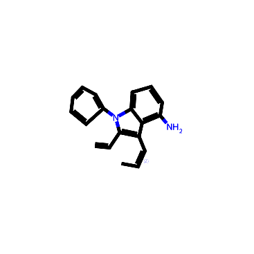 C=Cc1c(/C=C\C)c2c(N)cccc2n1-c1ccccc1